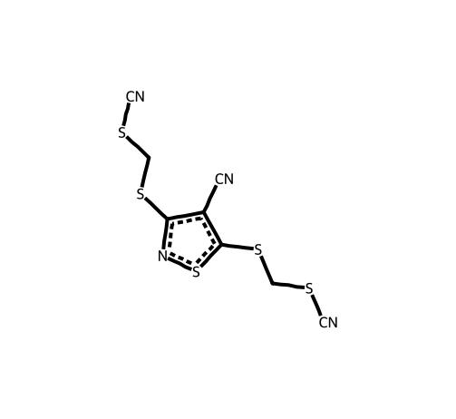 N#CSCSc1nsc(SCSC#N)c1C#N